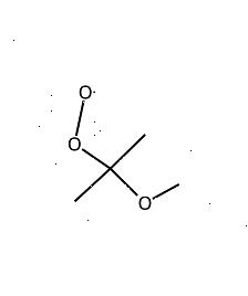 COC(C)(C)O[O]